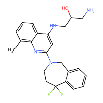 Cc1cccc2c(NCC(O)CN)cc(N3CCC(F)(F)c4ccccc4C3)nc12